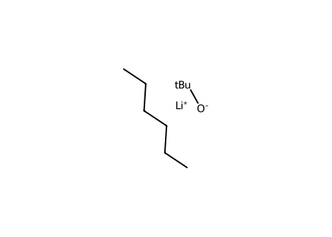 CC(C)(C)[O-].CCCCCC.[Li+]